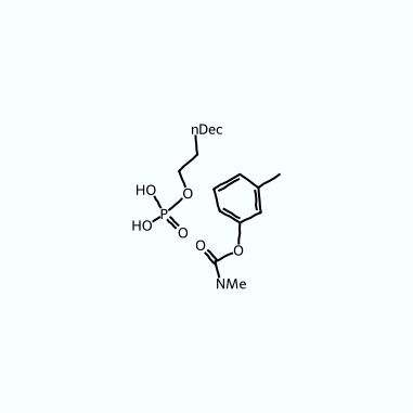 CCCCCCCCCCCCOP(=O)(O)O.CNC(=O)Oc1cccc(C)c1